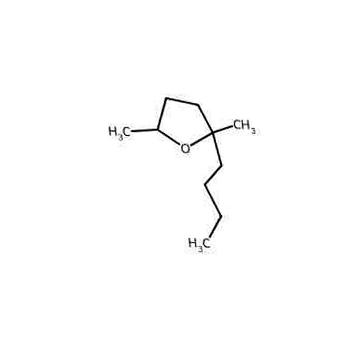 CCCCC1(C)CCC(C)O1